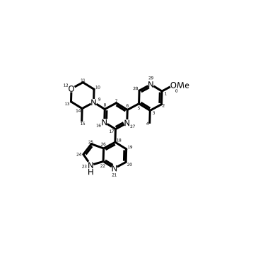 COc1cc(C)c(-c2cc(N3CCOCC3C)nc(-c3ccnc4[nH]ccc34)n2)cn1